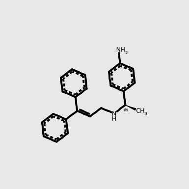 C[C@@H](NCC=C(c1ccccc1)c1ccccc1)c1ccc(N)cc1